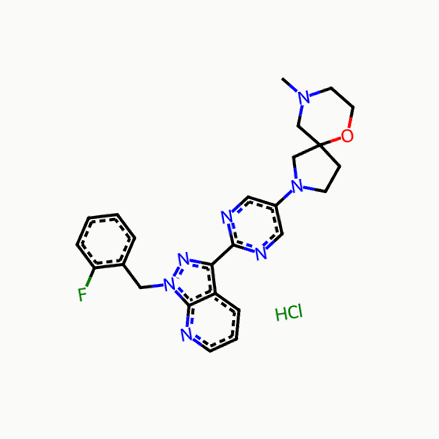 CN1CCOC2(CCN(c3cnc(-c4nn(Cc5ccccc5F)c5ncccc45)nc3)C2)C1.Cl